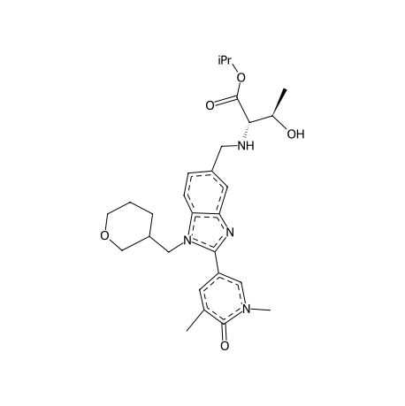 Cc1cc(-c2nc3cc(CN[C@H](C(=O)OC(C)C)[C@@H](C)O)ccc3n2CC2CCCOC2)cn(C)c1=O